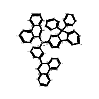 c1ccc(C2(c3ccccc3)c3ccccc3-c3ccc(N(c4cccc(-c5cc6ccccc6c6ccccc56)c4)c4cc5ccccc5c5ccccc45)cc32)cc1